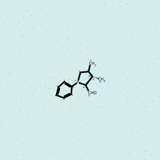 CC1CP(c2ccccc2)C(C=O)[C@H]1C